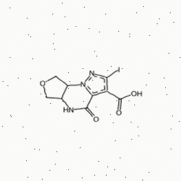 O=C(O)c1c(I)nn2c1C(=O)NC1COCC12